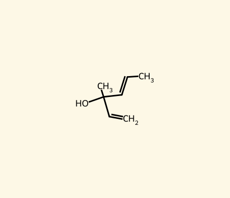 C=CC(C)(O)C=CC